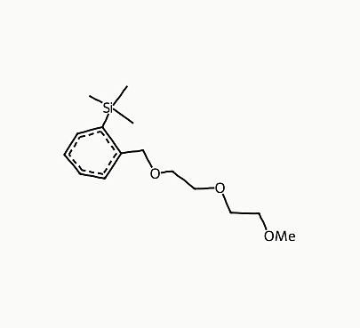 COCCOCCOCc1ccccc1[Si](C)(C)C